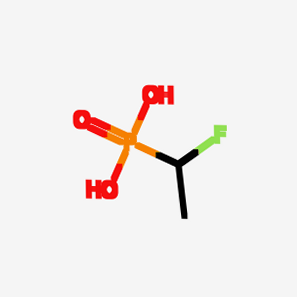 CC(F)P(=O)(O)O